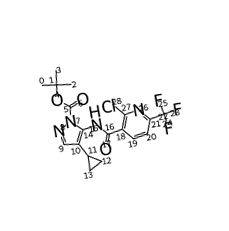 CC(C)(C)OC(=O)n1ncc(C2CC2)c1NC(=O)c1ccc(C(F)(F)F)nc1Cl